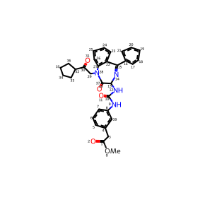 COC(=O)Cc1cccc(NC(=O)NC2N=C(c3ccccc3)c3ccccc3N(CC(=O)C3CCCC3)C2=O)c1